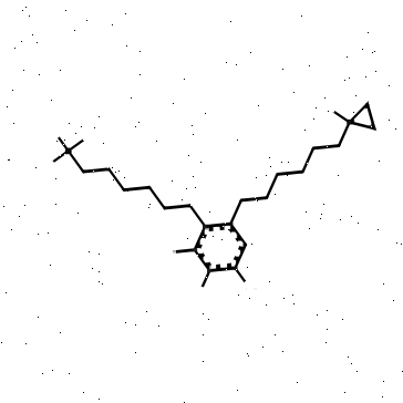 CC(C)(C)CCCCCCc1c(CCCCCCC2(C)CC2)cc(O)c(O)c1O